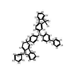 CC1(c2ccc(N(c3ccc(-c4ccccc4)cc3)c3ccc4c(c3)C(C)(C)c3ccccc3-4)cc2)C=c2c(n(-c3ccccc3)c3ccccc23)=CC1